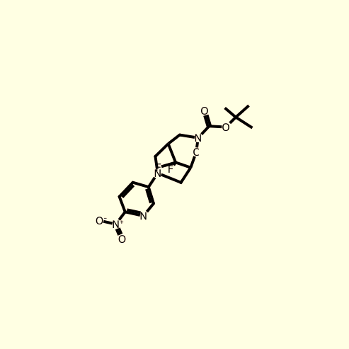 CC(C)(C)OC(=O)N1CC2CN(c3ccc([N+](=O)[O-])nc3)CC(C1)C2(F)F